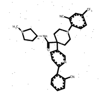 CN1CC[C@@H](NC(=O)C2(c3ccc(-c4ccccc4C#N)nc3)CCN(c3ccc(C(F)(F)F)cc3C#N)CC2)C1